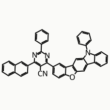 N#Cc1c(-c2ccc3ccccc3c2)nc(-c2ccccc2)nc1-c1ccc2oc3cc4c5ccccc5n(-c5ccccc5)c4cc3c2c1